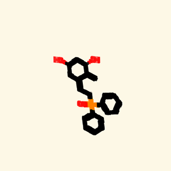 C=C1/C(=C\CP(=O)(c2ccccc2)c2ccccc2)C[C@@H](O)C[C@@H]1O